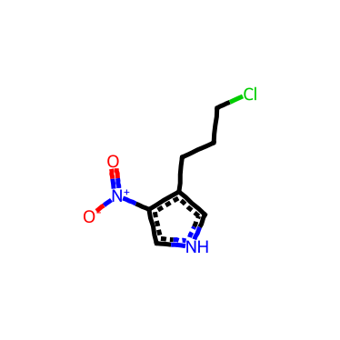 O=[N+]([O-])c1c[nH]cc1CCCCl